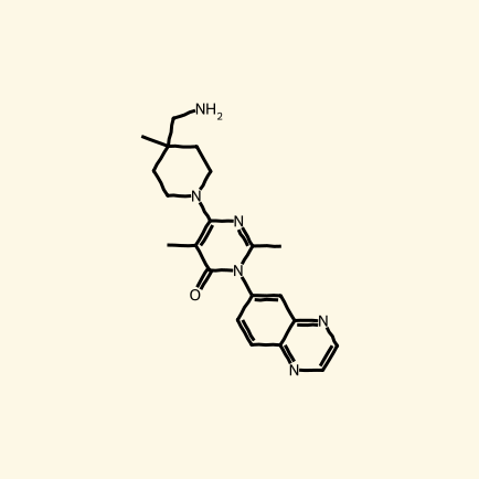 Cc1c(N2CCC(C)(CN)CC2)nc(C)n(-c2ccc3nccnc3c2)c1=O